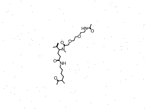 C=C(C)C(CCC(=O)NCCCCC(C)C(C)=O)N(C)C(=O)COCCOCCNC(C)=O